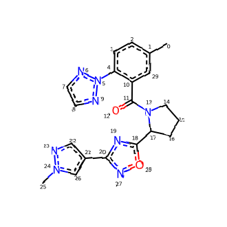 Cc1ccc(-n2nccn2)c(C(=O)N2CCCC2c2nc(-c3cnn(C)c3)no2)c1